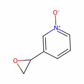 [O-][n+]1cccc(C2CO2)c1